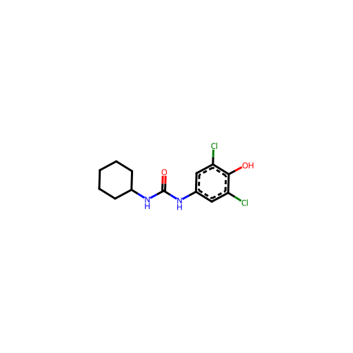 O=C(Nc1cc(Cl)c(O)c(Cl)c1)NC1CCCCC1